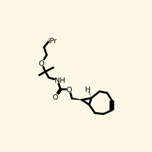 CC(C)CCOC(C)(C)CNC(=O)OC[C@@H]1C2CCC#CCC[C@@H]21